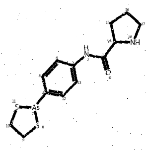 O=C(Nc1ccc([As]2SCCS2)cc1)C1CCCN1